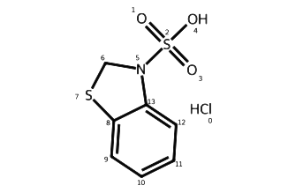 Cl.O=S(=O)(O)N1CSc2ccccc21